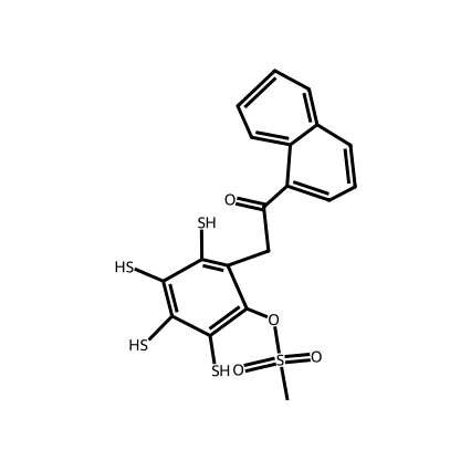 CS(=O)(=O)Oc1c(S)c(S)c(S)c(S)c1CC(=O)c1cccc2ccccc12